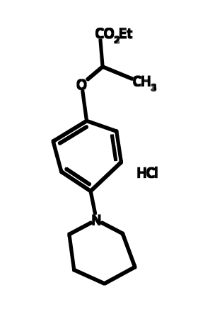 CCOC(=O)C(C)Oc1ccc(N2CCCCC2)cc1.Cl